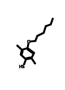 CCCCCCOc1cc(C)c(S)cc1C